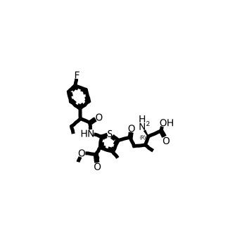 CCC(C(=O)Nc1sc(C(=O)CC(C)[C@@H](N)C(=O)O)c(C)c1C(=O)OC)c1ccc(F)cc1